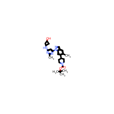 Cc1nc(NC2CC(O)C2)cc(-n2ncc3cc(C)c(C4CCN(C(=O)OC(C)(C)C)CC4)cc32)n1